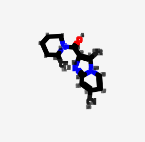 CCc1c(C(=O)N2CCCCC2C(F)(F)F)nc2cc(C#N)ccn12